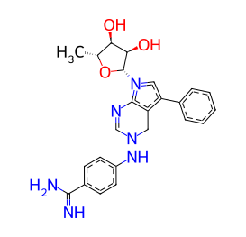 C[C@H]1O[C@@H](n2cc(-c3ccccc3)c3c2N=CN(Nc2ccc(C(=N)N)cc2)C3)[C@H](O)[C@@H]1O